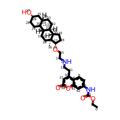 CCOC(=O)Nc1ccc2c(CCNCCO[C@H]3CC[C@H]4[C@@H]5CC[C@H]6C[C@H](O)CC[C@]6(C)[C@H]5CC[C@]34C)cc(=O)oc2c1